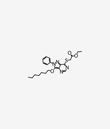 CCCCCCCOc1c2ncnc(SCC(=O)OCC)c2nn1-c1ccccc1